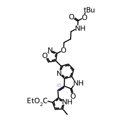 CCOC(=O)c1cc(C)[nH]c1/C=C1\C(=O)Nc2ccc(-c3conc3OCCCNC(=O)OC(C)(C)C)nc21